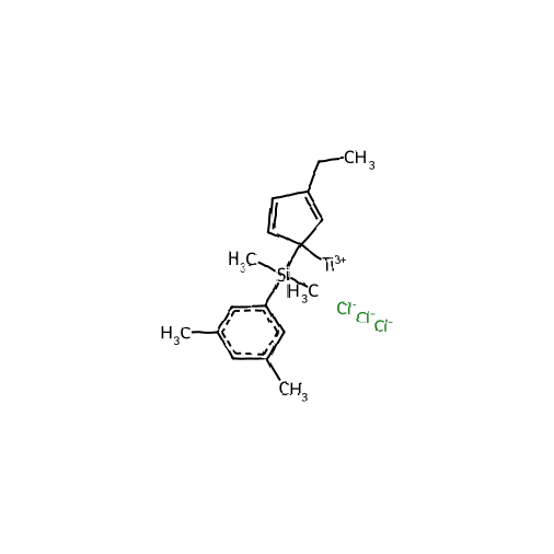 CCC1=C[C]([Ti+3])([Si](C)(C)c2cc(C)cc(C)c2)C=C1.[Cl-].[Cl-].[Cl-]